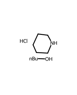 C1CCNCC1.CCCCO.Cl